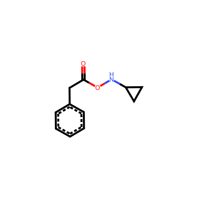 O=C(Cc1ccccc1)ONC1CC1